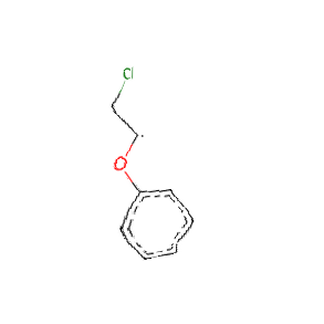 ClC[CH]Oc1ccccc1